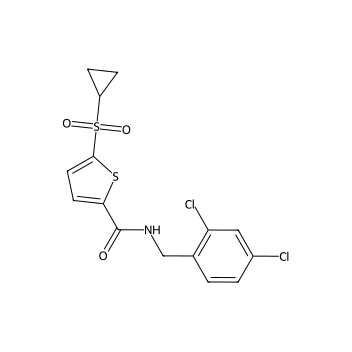 O=C(NCc1ccc(Cl)cc1Cl)c1ccc(S(=O)(=O)C2CC2)s1